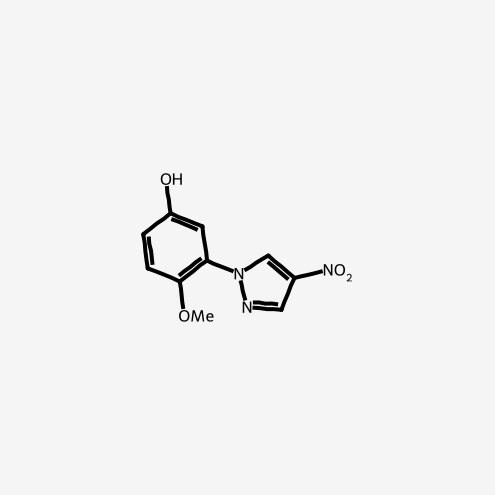 COc1ccc(O)cc1-n1cc([N+](=O)[O-])cn1